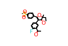 CCC1(C)OC(c2ccc(S(C)(=O)=O)cc2)=C(c2ccc(F)c(C(C)=O)c2)C1=O